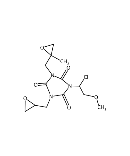 COCC(Cl)n1c(=O)n(CC2CO2)c(=O)n(CC2(C)CO2)c1=O